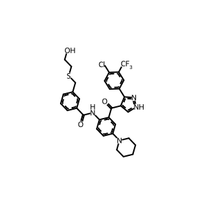 O=C(Nc1ccc(N2CCCCC2)cc1C(=O)c1c[nH]nc1-c1ccc(Cl)c(C(F)(F)F)c1)c1cccc(CSCCO)c1